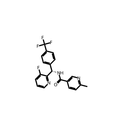 Cc1ccc(C(=O)N[C@@H](c2ccc(C(F)(F)F)cc2)c2ncccc2F)cn1